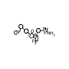 Nc1nnc(-c2cccc(-n3nc(C(F)(F)F)c4c3C(=O)N(c3ccc(-c5ccccc5CN5CCCC5)cc3)CC4)c2)s1